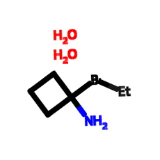 CC[B]C1(N)CCC1.O.O